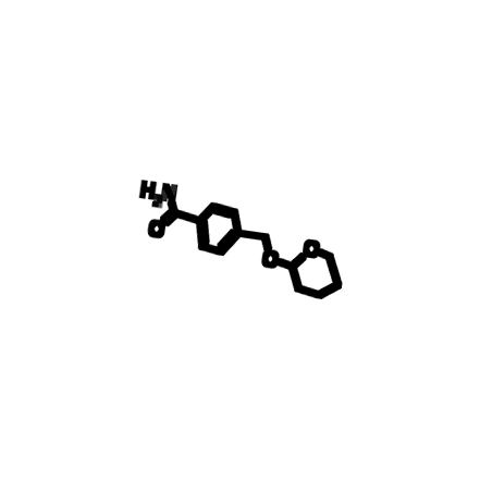 NC(=O)c1ccc(COC2CCCCO2)cc1